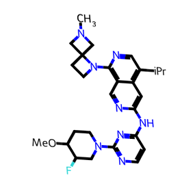 COC1CCN(c2nccc(Nc3cc4c(C(C)C)cnc(N5CCC56CN(C)C6)c4cn3)n2)CC1F